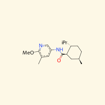 COc1ncc(NC(=O)[C@@H]2C[C@H](C)CC[C@H]2C(C)C)cc1C